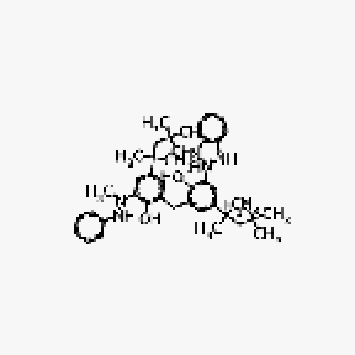 CN(Nc1ccccc1)c1cc(C(C)(C)CC(C)(C)C)cc(Cc2cc(C(C)(C)CC(C)(C)C)cc(N3Nc4ccccc4N3)c2O)c1O